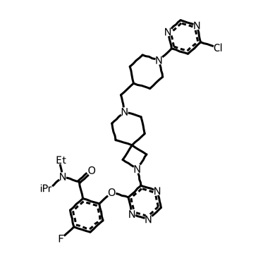 CCN(C(=O)c1cc(F)ccc1Oc1nncnc1N1CC2(CCN(CC3CCN(c4cc(Cl)ncn4)CC3)CC2)C1)C(C)C